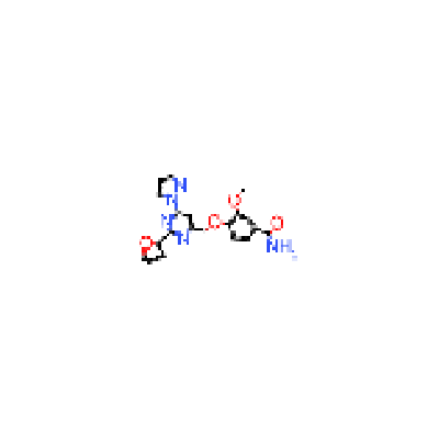 COc1cc(C(N)=O)ccc1OCc1cc(-n2cccn2)nc(-c2ccco2)n1